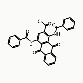 O=C(Nc1cc(C(=O)Cl)c(NC(=O)c2ccccc2)c2c1C(=O)c1ccccc1C2=O)c1ccccc1